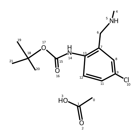 CC(=O)O.CNCc1cc(Cl)ccc1NC(=O)OC(C)(C)C